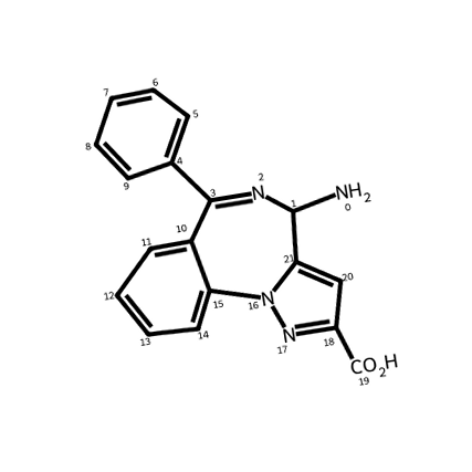 NC1N=C(c2ccccc2)c2ccccc2-n2nc(C(=O)O)cc21